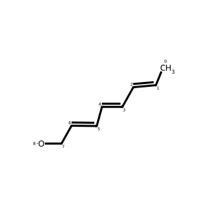 C/C=C/C=C/C=C/C[O]